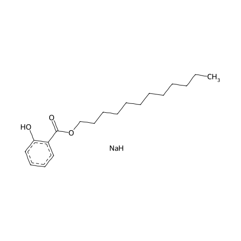 CCCCCCCCCCCCOC(=O)c1ccccc1O.[NaH]